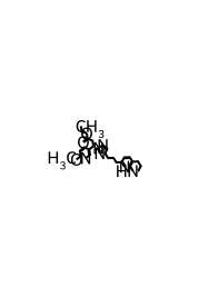 CCOC(=O)CC(c1ccc(OC)nc1)n1ncc(CCCc2ccc3c(n2)NCCC3)n1